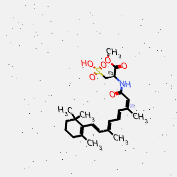 COC(=O)[C@H](CS(=O)(=O)O)NC(=O)/C=C(/C)C=CC=C(C)C=CC1=C(C)CCCC1(C)C